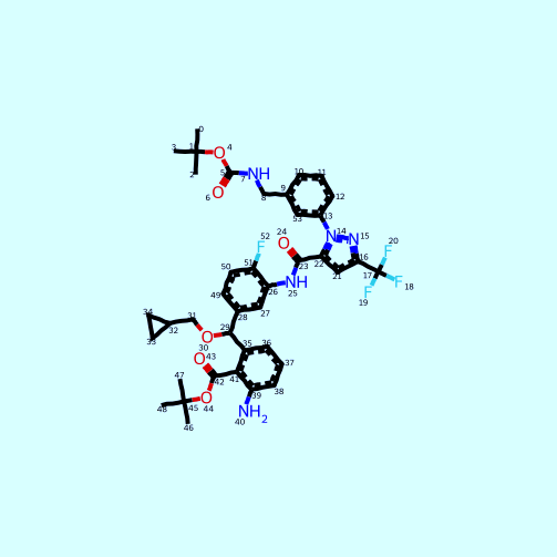 CC(C)(C)OC(=O)NCc1cccc(-n2nc(C(F)(F)F)cc2C(=O)Nc2cc(C(OCC3CC3)c3cccc(N)c3C(=O)OC(C)(C)C)ccc2F)c1